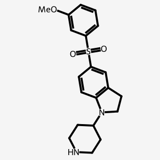 COc1cccc(S(=O)(=O)c2ccc3c(c2)CCN3C2CCNCC2)c1